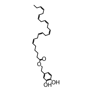 CC/C=C\C/C=C\C/C=C\C/C=C\C/C=C\C/C=C\CCCCC(=O)OCCc1ccc(O)c(O)c1